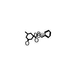 CCCCC1(C(=O)OCc2ccccc2)CC(=O)CC(C)C1